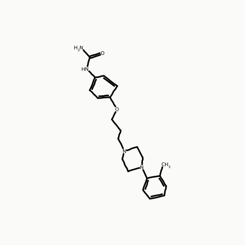 Cc1ccccc1N1CCN(CCCOc2ccc(NC(N)=O)cc2)CC1